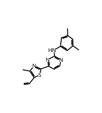 C=Cc1sc(-c2ccnc(Nc3cc(C)cc(C)c3)n2)nc1C